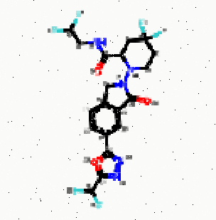 O=C(NCC(F)F)C1CC(F)(F)CCN1N1Cc2ccc(-c3nnc(C(F)F)o3)cc2C1=O